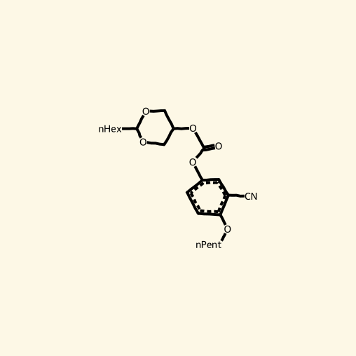 CCCCCCC1OCC(OC(=O)Oc2ccc(OCCCCC)c(C#N)c2)CO1